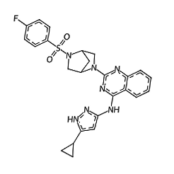 O=S(=O)(c1ccc(F)cc1)N1CC2CC1CN2c1nc(Nc2cc(C3CC3)[nH]n2)c2ccccc2n1